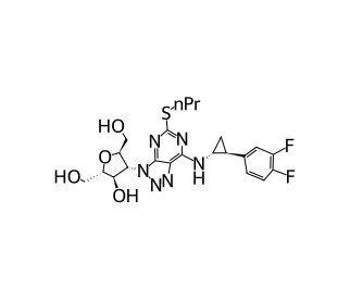 CCCSc1nc(N[C@@H]2C[C@H]2c2ccc(F)c(F)c2)c2nnn([C@@H]3[C@@H](O)[C@H](CO)O[C@H]3CO)c2n1